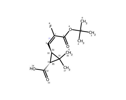 CC(C)(C)OC(=O)/C(F)=C\[C@@H]1[C@@H](C(=O)O)C1(C)C